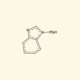 [PbH][n]1cnc2ccccc21